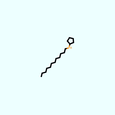 CCCCCCCCCCCCPC1CCCC1